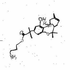 CC1=CCC2[C@@H](C1)c1c(O)cc(C(C)(C)C(=O)OCCCN)cc1OC2(C)C